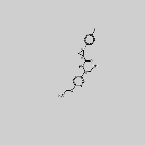 CCOc1ccc([C@H](CO)NC(=O)[C@H]2C[C@@H]2c2ccc(F)cc2)cn1